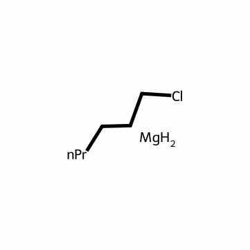 CCCCCCCl.[MgH2]